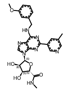 CNC(=O)[C@H]1O[C@H](n2cnc3c(NCc4cccc(OC)c4)nc(-c4cncc(C)c4)nc32)[C@H](O)[C@@H]1O